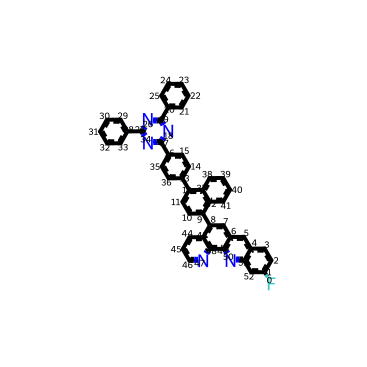 Fc1ccc2cc3cc(-c4ccc(-c5ccc(-c6nc(-c7ccccc7)nc(-c7ccccc7)n6)cc5)c5ccccc45)c4cccnc4c3nc2c1